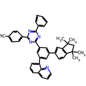 CC1(C)CC(C)(C)c2cc(-c3cc(-c4nc(-c5ccccc5)nc(-c5ccc(C#N)cc5)n4)cc(-c4cccc5cccnc45)c3)ccc21